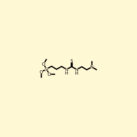 CO[Si](CCCNC(=S)NCCN(C)C)(OC)OC